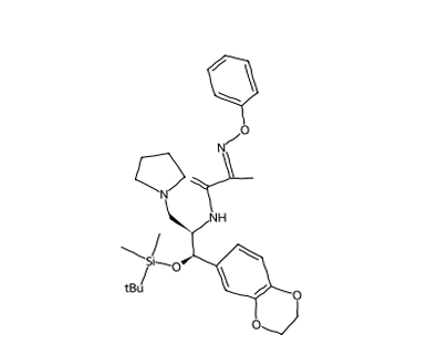 C=C(N[C@H](CN1CCCC1)[C@H](O[Si](C)(C)C(C)(C)C)c1ccc2c(c1)OCCO2)/C(C)=N/Oc1ccccc1